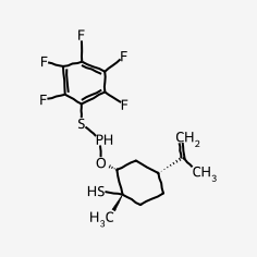 C=C(C)[C@@H]1CC[C@](C)(S)[C@H](OPSc2c(F)c(F)c(F)c(F)c2F)C1